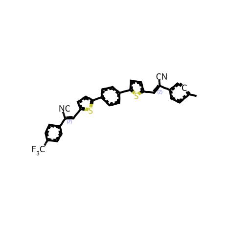 [C-]#[N+]/C(=C\c1ccc(-c2ccc(-c3ccc(/C=C(\C#N)c4ccc(C)cc4)s3)cc2)s1)c1ccc(C(F)(F)F)cc1